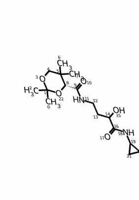 CC1(C)OCC(C)(C)[C@H](C(=O)NCCC(O)C(=O)NC2CC2)O1